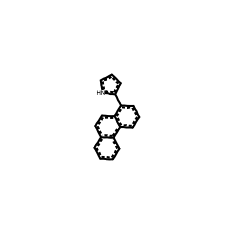 c1c[nH]c(-c2cccc3c2ccc2ccccc23)c1